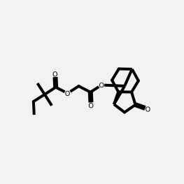 CCC(C)(C)C(=O)OCC(=O)OC1C2CCC3C(C2)C(=O)CC31